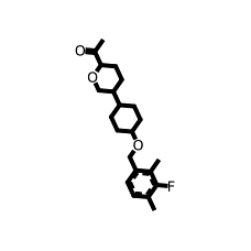 CC(=O)C1CCC(C2CCC(OCc3ccc(C)c(F)c3C)CC2)CO1